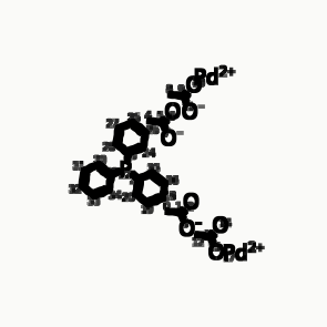 CC(=O)[O-].CC(=O)[O-].CC(=O)[O-].CC(=O)[O-].[Pd+2].[Pd+2].c1ccc(P(c2ccccc2)c2ccccc2)cc1